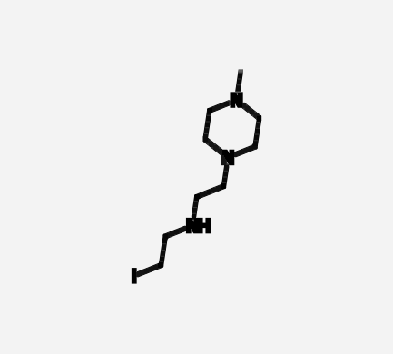 CN1CCN(CCNCCI)CC1